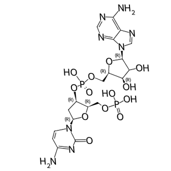 Nc1ccn([C@H]2C[C@@H](OP(=O)(O)OC[C@H]3O[C@@H](n4cnc5c(N)ncnc54)C(O)[C@H]3O)[C@@H](COP(=O)(O)O)O2)c(=O)n1